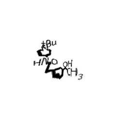 CC(O)c1cccc(CC(=O)NC2=CCN(C(C)(C)C)C=C2)c1